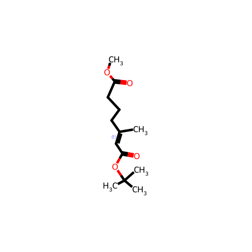 COC(=O)CCC/C(C)=C/C(=O)OC(C)(C)C